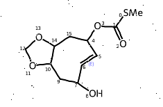 CSC(=O)OC1/C=C/C(O)CC2OCOC2C1